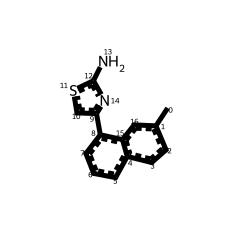 Cc1ccc2cccc(-c3csc(N)n3)c2c1